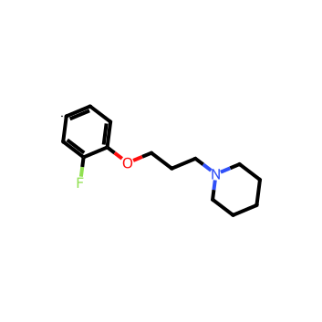 Fc1c[c]ccc1OCCCN1CCCCC1